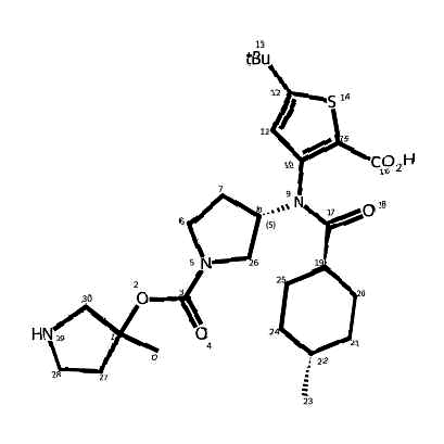 CC1(OC(=O)N2CC[C@H](N(c3cc(C(C)(C)C)sc3C(=O)O)C(=O)[C@H]3CC[C@H](C)CC3)C2)CCNC1